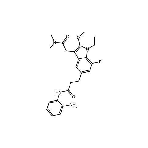 CCn1c(OC)c(CC(=O)N(C)C)c2cc(CCC(=O)Nc3ccccc3N)cc(F)c21